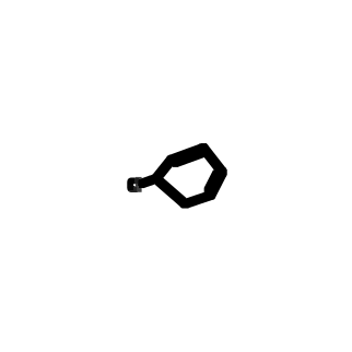 Cl[C]1C=CC=CC1